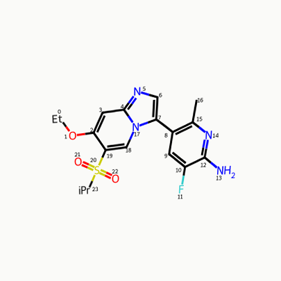 CCOc1cc2ncc(-c3cc(F)c(N)nc3C)n2cc1S(=O)(=O)C(C)C